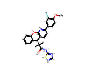 CC(C)Oc1ccc(-c2ccc3c(n2)Oc2ccccc2[C@@H]3C(C)(C)C(=O)Nc2ncns2)cc1F